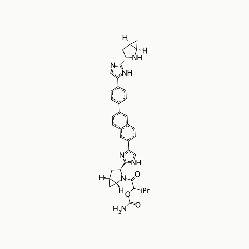 CC(C)C(OC(N)=O)C(=O)N1[C@@H]2C[C@@H]2C[C@H]1c1nc(-c2ccc3cc(-c4ccc(-c5cnc([C@@H]6C[C@H]7C[C@H]7N6)[nH]5)cc4)ccc3c2)c[nH]1